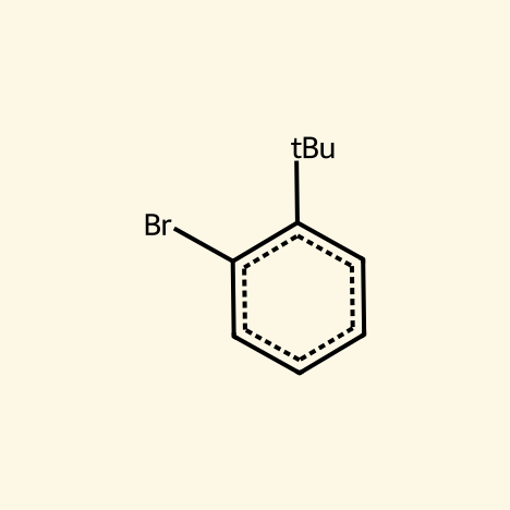 [CH2]C(C)(C)c1ccccc1Br